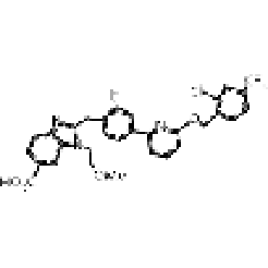 COCCn1c(Cc2ccc(-c3cccc(OCc4ccc(C(F)(F)F)cc4Cl)n3)cc2F)nc2ccc(C(=O)O)cc21